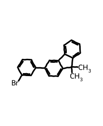 CC1(C)c2ccccc2-c2cc(-c3cccc(Br)c3)ccc21